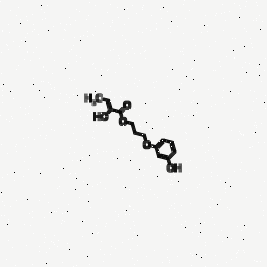 CC=C(O)C(=O)OCCCOc1cccc(O)c1